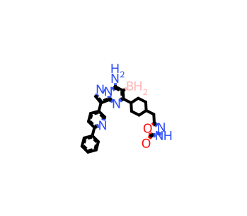 Bc1c(C2CCC(Cc3n[nH]c(=O)o3)CC2)nc2c(-c3ccc(-c4ccccc4)nc3)cnn2c1N